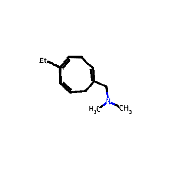 CCC1=C/C/C=C(/CN(C)C)C/C=C\1